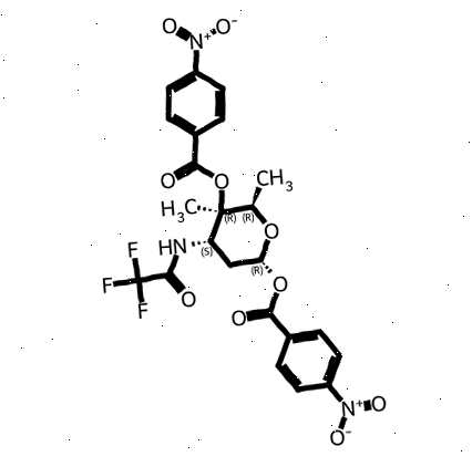 C[C@H]1O[C@H](OC(=O)c2ccc([N+](=O)[O-])cc2)C[C@H](NC(=O)C(F)(F)F)[C@@]1(C)OC(=O)c1ccc([N+](=O)[O-])cc1